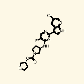 O=C(O[C@H]1CCOC1)N1CC[C@@H](Nc2nc(-c3c[nH]c4ncc(Cl)cc34)ncc2F)C1